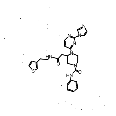 O=C(CC1CN(C(=O)Nc2ccccc2)CCN1c1ccnc(-n2ccnc2)n1)NCCc1ccsc1